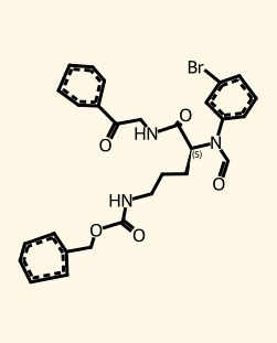 O=CN(c1cccc(Br)c1)[C@@H](CCCNC(=O)OCc1ccccc1)C(=O)NCC(=O)c1ccccc1